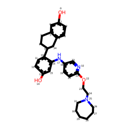 Oc1ccc2c(c1)CCC(c1ccc(O)cc1Nc1ccc(OCCN3CCCCCC3)nc1)C2